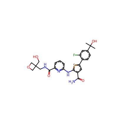 CC(C)(O)c1ccc(-c2cc(C(N)=O)c(Nc3cccc(C(=O)NCC4(CO)COC4)n3)s2)c(F)c1